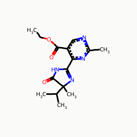 CCOC(=O)c1cnc(C)nc1C1=NC(C)(C(C)C)C(=O)N1